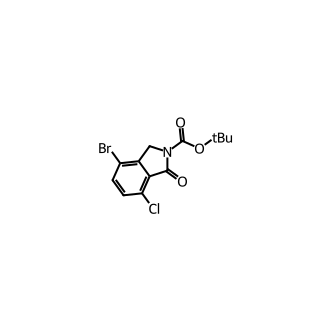 CC(C)(C)OC(=O)N1Cc2c(Br)ccc(Cl)c2C1=O